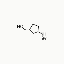 CC(C)N[C@@H]1CC[C@@H](CO)C1